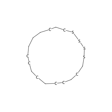 C1CCCCCCCCSSSSCCCCCCC1